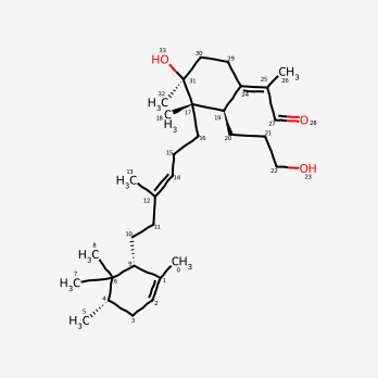 CC1=CC[C@H](C)C(C)(C)[C@@H]1CC/C(C)=C/CC[C@@]1(C)[C@H](CCCO)/C(=C(/C)C=O)CC[C@]1(C)O